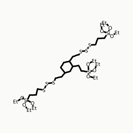 CCO[Si](CCCSSSCCC1CCC(CCSSSCCC[Si](OCC)(OCC)OCC)C(CC[Si](OCC)(OCC)OCC)C1)(OCC)OCC